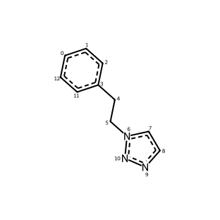 c1ccc(CCn2ccnn2)cc1